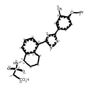 CC(C)Oc1ccc(-c2nnc(-c3cccc4c3CCC[C@@H]4NS(=O)(=O)CC(=O)O)s2)cc1C#N